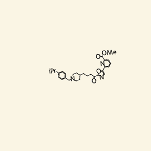 COC(=O)c1cccc(-c2cnc(C(=O)CCCC3CCN(Cc4ccc(C(C)C)cc4)CC3)o2)n1